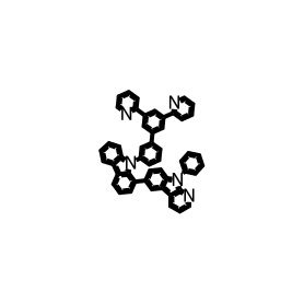 c1ccc(-n2c3ccc(-c4cccc5c6ccccc6n(-c6cccc(-c7cc(-c8ccccn8)cc(-c8ccccn8)c7)c6)c45)cc3c3cccnc32)cc1